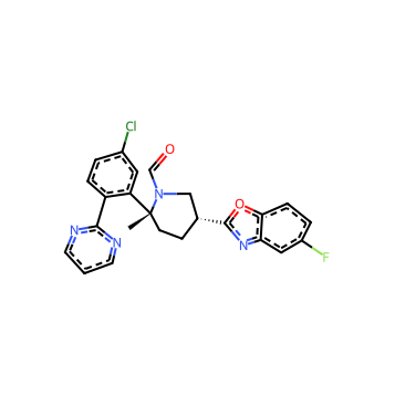 C[C@]1(c2cc(Cl)ccc2-c2ncccn2)CC[C@@H](c2nc3cc(F)ccc3o2)CN1C=O